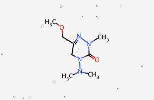 COCC1=NN(C)C(=O)N(N(C)C)C1